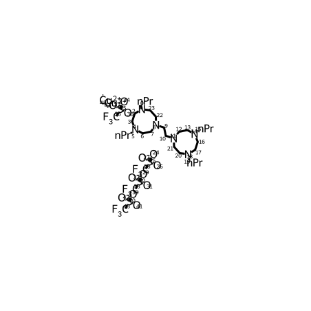 CCCN1CCN(CCC)CCN(CCN2CCN(CCC)CCN(CCC)CC2)CC1.O=S(=O)([O-])C(F)(F)F.O=S(=O)([O-])C(F)(F)F.O=S(=O)([O-])C(F)(F)F.O=S(=O)([O-])C(F)(F)F.[Cu+2].[Cu+2]